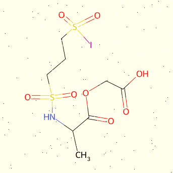 CC(NS(=O)(=O)CCCS(=O)(=O)I)C(=O)OCC(=O)O